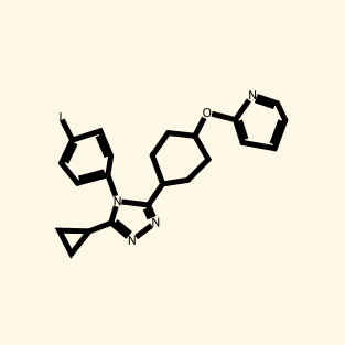 Ic1ccc(-n2c(C3CCC(Oc4ccccn4)CC3)nnc2C2CC2)cc1